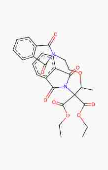 CCOC(=O)C(C(=O)OCC)(C(C)OCCN1C(=O)c2ccccc2C1=O)N1C(=O)c2ccccc2C1=O